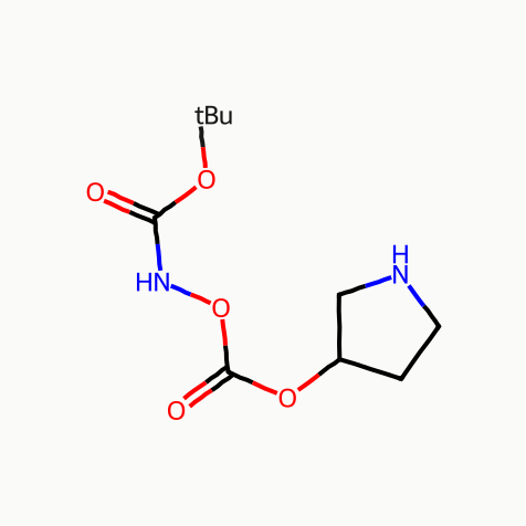 CC(C)(C)OC(=O)NOC(=O)OC1CCNC1